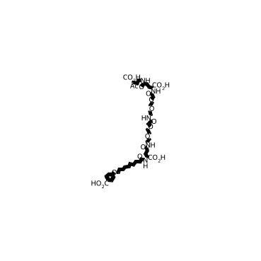 CC(=O)CC[C@H](NC(=O)CC[C@H](NC(=O)COCCOCCNC(=O)COCCOCCNC(=O)CC[C@H](NC(=O)CCCCCCCCCOc1ccc(C(=O)O)cc1)C(=O)O)C(=O)O)C(=O)O